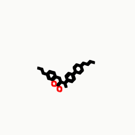 CCCCC1CCC(c2ccc(C(C)C3Cc4ccc(CCC)cc4OC3=O)cc2)CC1